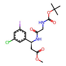 COC(=O)C[C@H](NC(=O)CNC(=O)OC(C)(C)C)c1cc(Cl)cc(I)c1